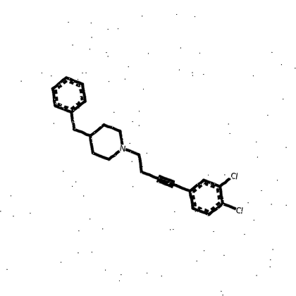 Clc1ccc(C#CCCN2CCC(Cc3ccccc3)CC2)cc1Cl